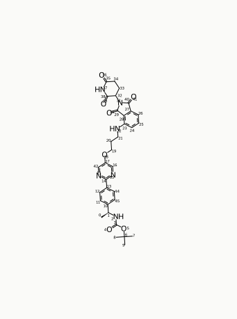 C[C@H](NC(=O)OC(C)(C)C)c1ccc(-c2ncc(OCCCNc3cccc4c3C(=O)N(C3CCC(=O)NC3=O)C4=O)cn2)cc1